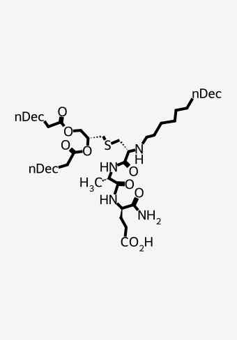 CCCCCCCCCCCCCCCCN[C@@H](CSC[C@@H](COC(=O)CCCCCCCCCCC)OC(=O)CCCCCCCCCCC)C(=O)N[C@@H](C)C(=O)N[C@H](CCC(=O)O)C(N)=O